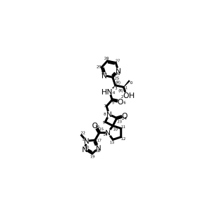 C[C@@H](O)[C@H](NC(=O)CN1CC2(CCCN2C(=O)c2ncnn2C)C1=O)c1ncccn1